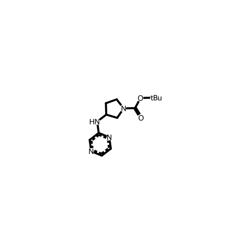 CC(C)(C)OC(=O)N1CCC(Nc2cnccn2)C1